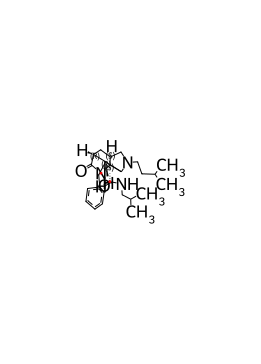 CC(C)CCN1C[C@@H]2C[C@H]3C(=O)N[C@]2(C(=O)NCC(C)C)C1[C@@H]3Cc1ccccc1